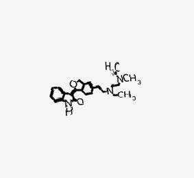 CCN(C)CCN(CC)CCc1ccc2c(c1)CO/C2=C1/C(=O)Nc2ccccc21